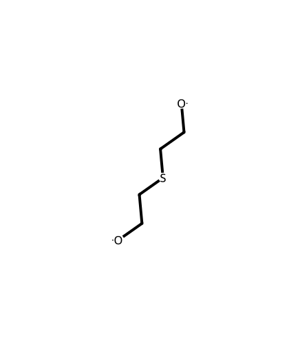 [O]CCSCC[O]